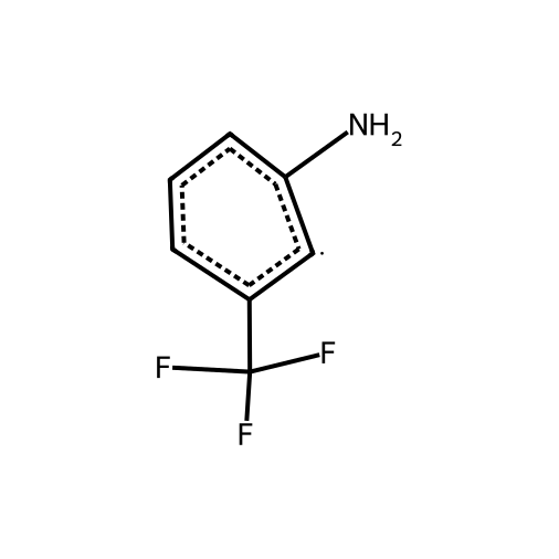 Nc1[c]c(C(F)(F)F)ccc1